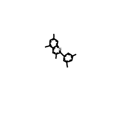 Cc1cc(C)cc(-c2nc3cc(C)cc(C)c3cc2C)c1